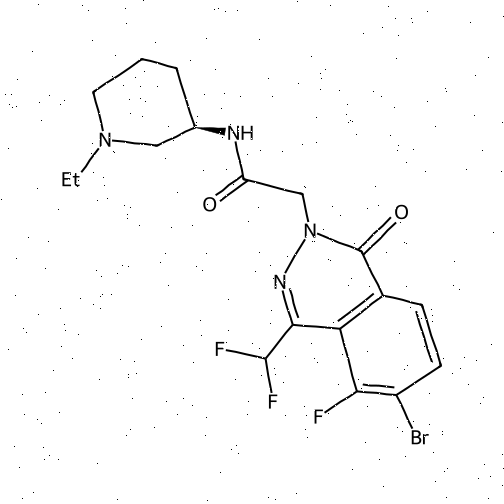 CCN1CCC[C@@H](NC(=O)Cn2nc(C(F)F)c3c(F)c(Br)ccc3c2=O)C1